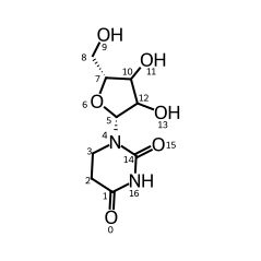 O=C1CCN([C@@H]2O[C@H](CO)C(O)C2O)C(=O)N1